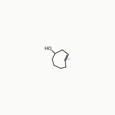 OC1C/C=C/CCCC1